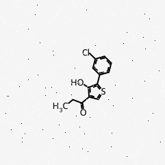 CCC(=O)c1csc(-c2cccc(Cl)c2)c1O